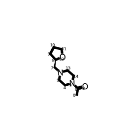 CC(=O)N1CCN(C[C@H]2CCCO2)CC1